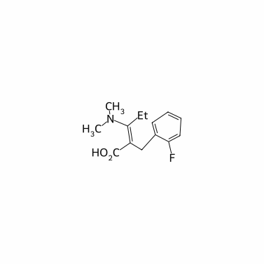 CCC(=C(Cc1ccccc1F)C(=O)O)N(C)C